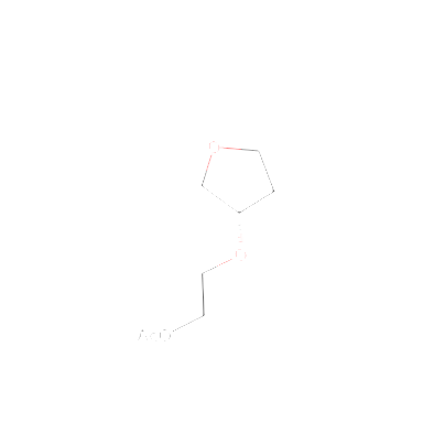 CC(=O)OCCO[C@H]1CCOC1